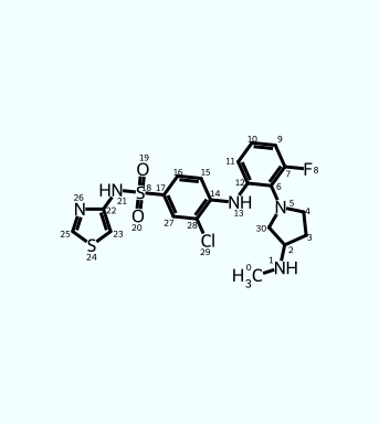 CNC1CCN(c2c(F)cccc2Nc2ccc(S(=O)(=O)Nc3cscn3)cc2Cl)C1